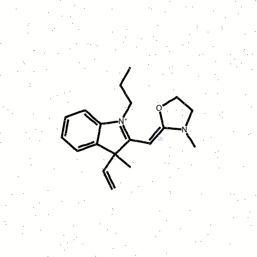 C=CC1(C)C(/C=C2\OCCN2C)=[N+](CCC)c2ccccc21